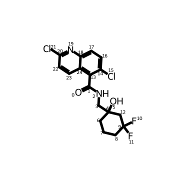 O=C(NCC1(O)CCCC(F)(F)C1)c1c(Cl)ccc2nc(Cl)ccc12